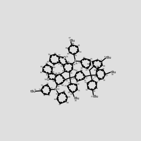 CC(C)(C)c1ccc(CC(c2ccc(C(C)(C)C)cc2)(c2ccc(C(C)(C)C)cc2)c2ccc(C3(c4ccc(C(C)(C)C)cc4)c4cc(N(c5ccccc5)c5ccc(C(C)(C)C)cc5)c5oc6ccccc6c5c4-c4c3cc(N(c3ccccc3)c3ccc(C(C)(C)C)cc3)c3oc5ccccc5c43)cc2)cc1